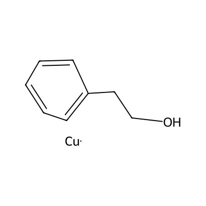 OCCc1ccccc1.[Cu]